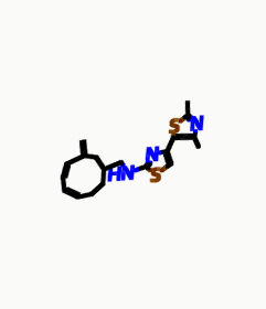 C=C1/C=C\C=C/CCC(CNc2nc(-c3sc(C)nc3C)cs2)C1